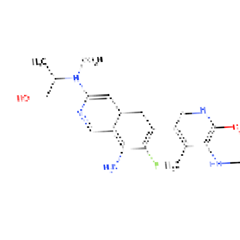 Cc1c(-c2cc3cc(N(C(=O)O)C(C)CO)ncc3c(N)c2F)cnc2c1NCCO2